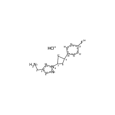 Cl.NCc1cnn(C2CC(c3ccc(F)cc3)C2)c1